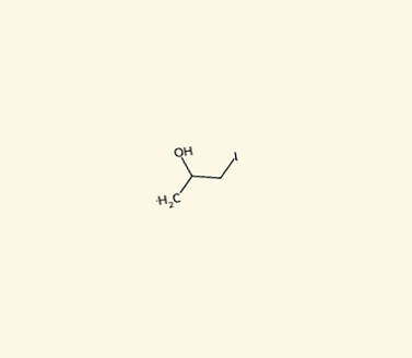 [CH2]C(O)CI